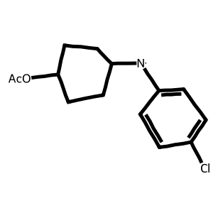 CC(=O)OC1CCC([N]c2ccc(Cl)cc2)CC1